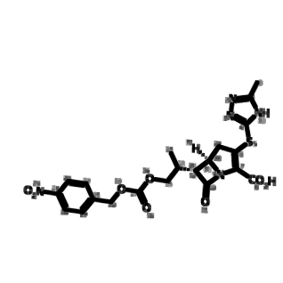 Cc1nnc(SC2=C(C(=O)O)N3C(=O)[C@H](C(C)COC(=O)OCc4ccc([N+](=O)[O-])cc4)[C@H]3C2)[nH]1